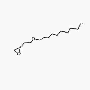 [CH2]CCCCCCCCCOCCC1CO1